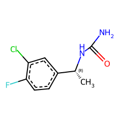 C[C@@H](NC(N)=O)c1ccc(F)c(Cl)c1